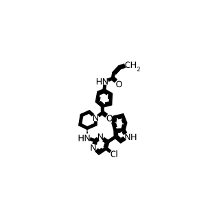 C=C=CC(=O)Nc1ccc(C(=O)N2CCC[C@@H](Nc3ncc(Cl)c(-c4c[nH]c5ccccc45)n3)C2)cc1